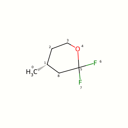 C[C@@H]1CCOC(F)(F)C1